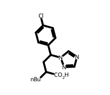 CCCCC(CC(c1ccc(Cl)cc1)n1cncn1)C(=O)O